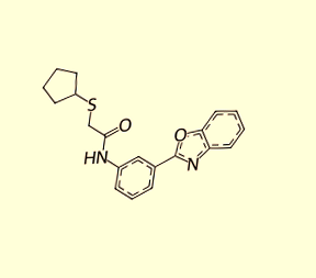 O=C(CSC1CCCC1)Nc1cccc(-c2nc3ccccc3o2)c1